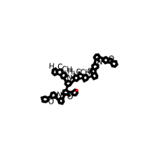 CC1(C)c2ccccc2-c2cc3c4cc(-c5cc6c(c7cccc8c9c%10oc%11ccccc%11c%10ccc9n6c87)c6oc7ccccc7c56)cc5c6cc7c(cc6n(c3cc21)c45)C(C)(C)c1cc(-c2cccc3c2oc2cc4c5cccc6c8cc9oc%10ccccc%10c9cc8n(c4cc23)c65)ccc1-7